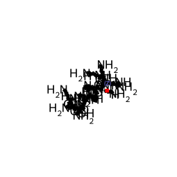 N=C(N)NCC/C=C(\NC(=O)[C@H](CCCCN)NC(=O)C(Cc1cnc[nH]1)NC(=O)[C@@H]1CCCN1C(=O)[C@@H](CCCN)NC(=O)CNC(=O)[C@@H](NC(=O)C(CCN)NC(=O)C(N)CCCCN)[C@@H](O)CN)C(=O)N[C@@H](CCCCN)C(=O)NCCCCN